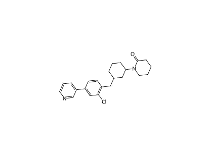 O=C1CCCCN1C1CCCC(Cc2ccc(-c3cccnc3)cc2Cl)C1